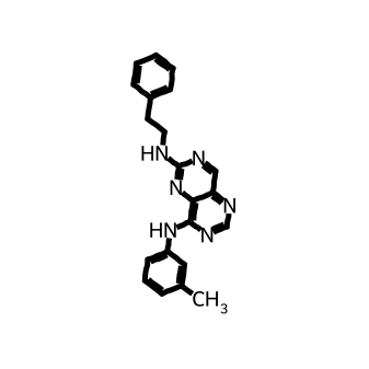 Cc1cccc(Nc2ncnc3cnc(NCCc4ccccc4)nc23)c1